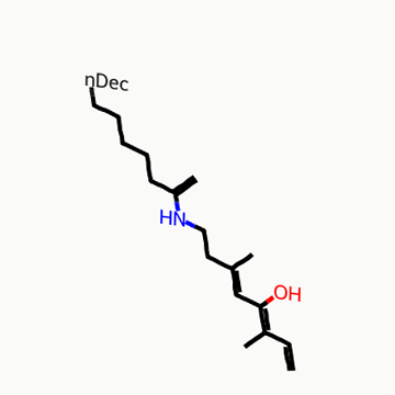 C=C/C(C)=C(O)/C=C(\C)CCNC(=C)CCCCCCCCCCCCCCC